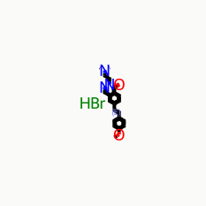 Br.COc1ccc(/C=C/c2ccc3c(=O)n(CCN(C)C)ncc3c2)cc1